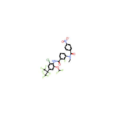 CCN(C(=O)c1ccc([N+](=O)[O-])cc1)c1cccc(C(=O)Nc2c(Cl)cc(C(F)(C(F)(F)F)C(F)(F)F)cc2OC(F)F)c1F